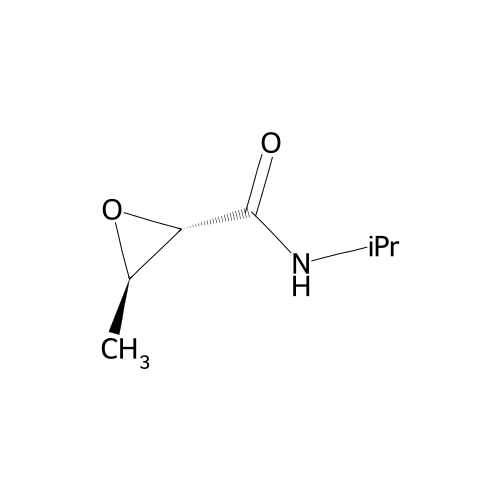 CC(C)NC(=O)[C@H]1O[C@@H]1C